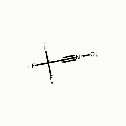 [O-][N+]#CC(F)(F)F